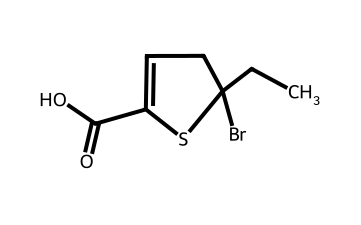 CCC1(Br)CC=C(C(=O)O)S1